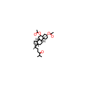 CC(=O)OC1CC[C@@]2(C)C(C1)C(OC(C)=O)C[C@H]1[C@@H]3CC[C@H]([C@H](C)CCC(=O)C(C)C)[C@@]3(C)CC[C@@H]12